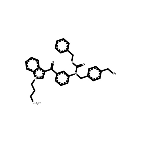 CCOC(=O)CCCn1cc(C(=O)c2cccc(N(Cc3ccc(CC(C)C)cc3)C(=O)OCc3ccccc3)c2)c2ccccc21